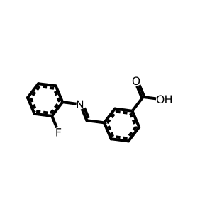 O=C(O)c1cccc(C=Nc2ccccc2F)c1